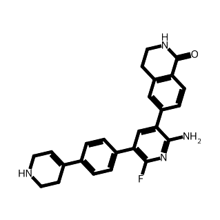 Nc1nc(F)c(-c2ccc(C3=CCNCC3)cc2)cc1-c1ccc2c(c1)CCNC2=O